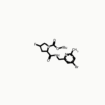 Cc1cc(Br)cc(CNC(=O)C2CC(F)CN2C(=O)OC(C)(C)C)n1